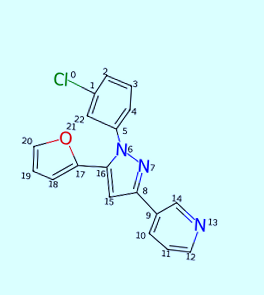 Clc1cccc(-n2nc(-c3cccnc3)cc2-c2ccco2)c1